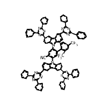 N#Cc1cc(-n2c3ccc(-c4nc(-c5ccccc5)nc(-c5ccccc5)n4)cc3c3cc(-c4nc(-c5ccccc5)nc(-c5ccccc5)n4)ccc32)c(-c2ccc(C(F)(F)F)cc2C(F)(F)F)cc1-n1c2ccc(-c3nc(-c4ccccc4)nc(-c4ccccc4)n3)cc2c2cc(-c3nc(-c4ccccc4)nc(-c4ccccc4)n3)ccc21